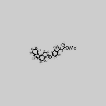 COC(=O)CC1COc2cc(O[C@@H]3CCc4c(-c5ccccc5C(C)C)cccc43)ccc21